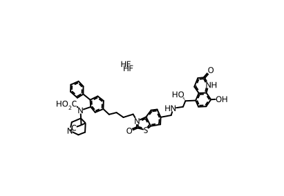 F.F.O=C(O)N(c1cc(CCCCn2c(=O)sc3cc(CNC[C@H](O)c4ccc(O)c5[nH]c(=O)ccc45)ccc32)ccc1-c1ccccc1)C1CN2CCC1CC2